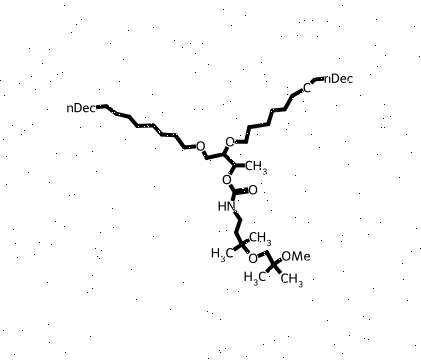 CCCCCCCCCCCCCCCCCCOCC(OCCCCCCCCCCCCCCCCCC)C(C)OC(=O)NCCC(C)(C)OCC(C)(C)OC